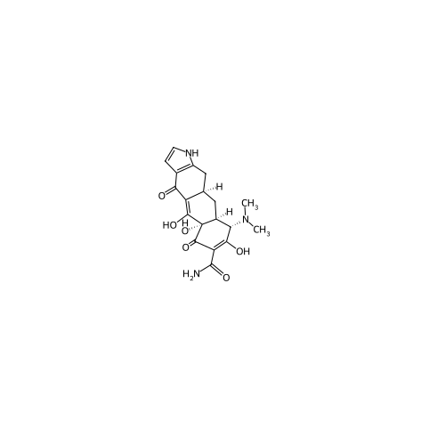 CN(C)[C@@H]1C(O)=C(C(N)=O)C(=O)[C@@]2(O)C(O)=C3C(=O)c4cc[nH]c4C[C@H]3C[C@@H]12